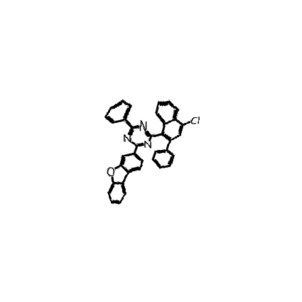 Clc1cc(-c2ccccc2)c(-c2nc(-c3ccccc3)nc(-c3ccc4c(c3)oc3ccccc34)n2)c2ccccc12